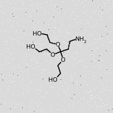 NCCC(OCCO)(OCCO)OCCO